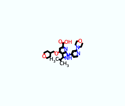 CC(C)C1NN(c2ccnc(N3CCOCC3)c2)c2nc(C(=O)O)cc(OCC3CCOCC3)c21